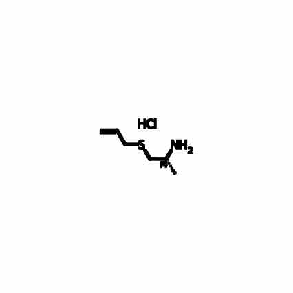 C=CCSC[C@@H](C)N.Cl